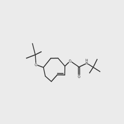 CC(C)(C)NC(=O)OC1/C=C/CCC(OC(C)(C)C)CC1